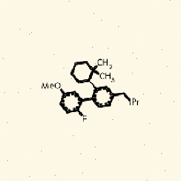 COc1ccc(F)c(-c2ccc(CC(C)C)cc2[C@H]2CCCCC2(C)C)c1